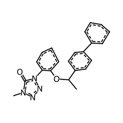 CC(Oc1ccccc1-n1nnn(C)c1=O)c1ccc(-c2ccccc2)cc1